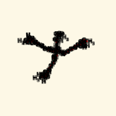 CC(=O)N[C@H]1[C@@H]2OC[C@](COCCOCCOCCOCCn3cc(COCC(COCc4cn(CCOCCOCCOCCOC[C@@]56CO[C@@H](O5)[C@H](NC(C)=O)[C@@H](O)[C@H]6O)nn4)(COCc4cn(CCOCCOCCOCCO[C@@]56CO[C@@H](O5)[C@H](NC(C)=O)[C@@H](O)[C@H]6O)nn4)NC(=O)CCCCCNC(=O)CCC4=C(C)C(=O)OC4=O)nn3)(O2)[C@H](O)[C@@H]1O